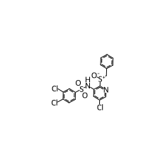 O=S(=O)(Nc1cc(Cl)cnc1[S+]([O-])Cc1ccccc1)c1ccc(Cl)c(Cl)c1